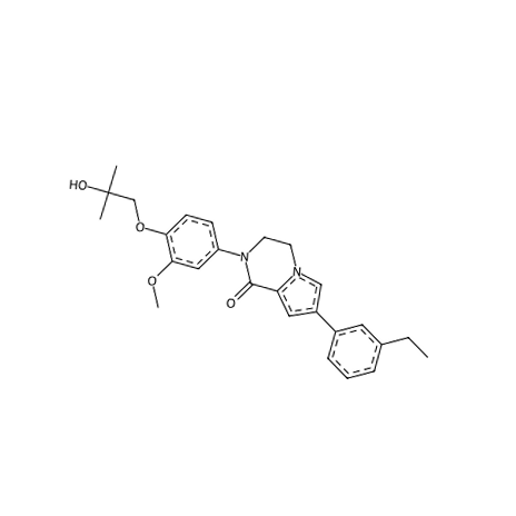 CCc1cccc(-c2cc3n(c2)CCN(c2ccc(OCC(C)(C)O)c(OC)c2)C3=O)c1